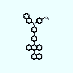 O=[N+]([O-])c1ccc(N(c2ccc(-c3ccc(-c4c5ccccc5c(-c5cccc6ccccc56)c5ccccc45)cc3)cc2)c2ccc3cccnc3c2)cc1